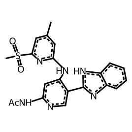 CC(=O)Nc1cc(Nc2cc(C)cc(S(C)(=O)=O)n2)c(-c2nc3ccccc3[nH]2)cn1